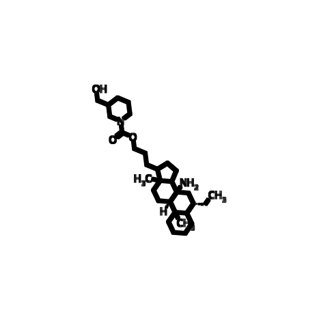 CC[C@H]1CC2(N)C3CCC(CCCOC(=O)N4CCCC(CO)C4)C3(C)CC[C@@H]2C2(C)CCCCC12